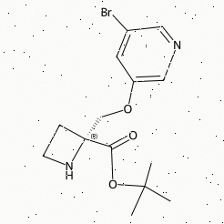 CC(C)(C)OC(=O)[C@]1(COc2cncc(Br)c2)CCN1